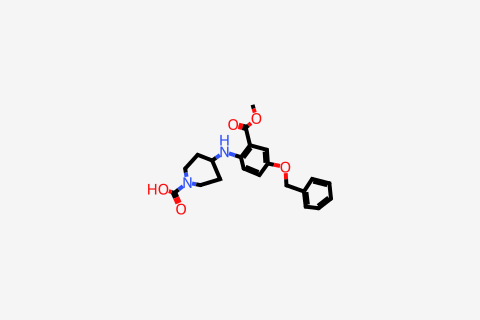 COC(=O)c1cc(OCc2ccccc2)ccc1NC1CCN(C(=O)O)CC1